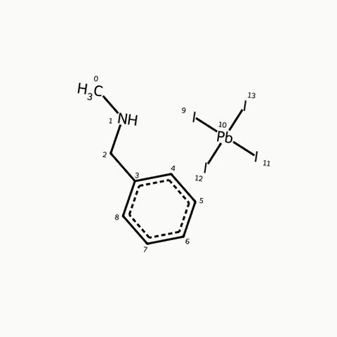 CNCc1ccccc1.[I][Pb]([I])([I])[I]